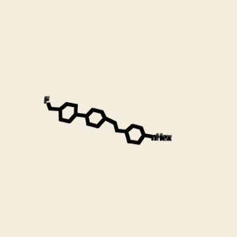 CCCCCCC1CCC(CCC2CCC(C3CCC(CF)CC3)CC2)CC1